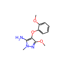 COc1ccccc1Oc1c(OC)nn(C)c1N